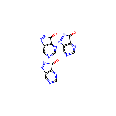 O=C1N=Nc2cncnc21.O=C1N=Nc2cncnc21.O=C1N=Nc2cncnc21